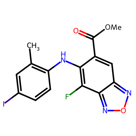 COC(=O)c1cc2nonc2c(F)c1Nc1ccc(I)cc1C